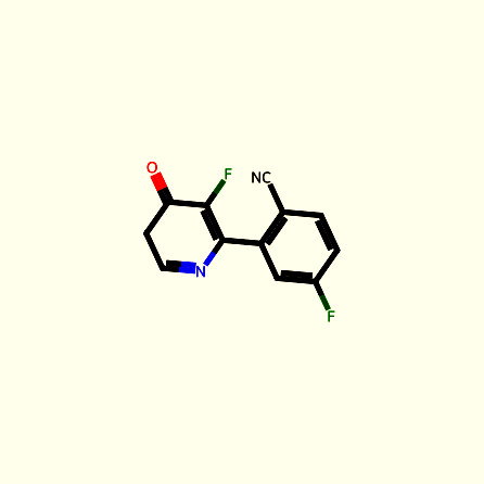 N#Cc1ccc(F)cc1C1=C(F)C(=O)CC=N1